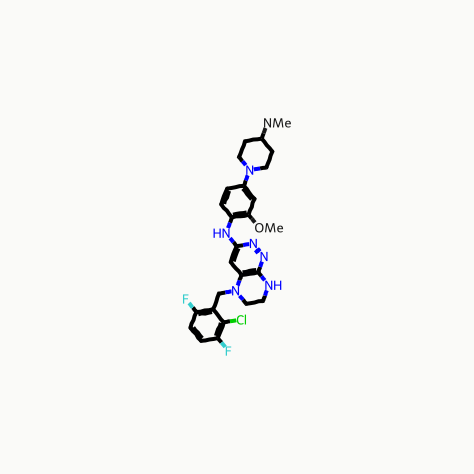 CNC1CCN(c2ccc(Nc3cc4c(nn3)NCCN4Cc3c(F)ccc(F)c3Cl)c(OC)c2)CC1